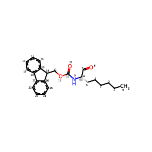 CCCCCC[C@@H](C=O)NC(=O)OCC1c2ccccc2-c2ccccc21